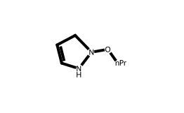 CCCON1CC=CN1